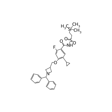 C[Si](C)(C)CCS(=O)(=O)NC(=O)c1cc(C2CC2)c(OCC2CN(C(c3ccccc3)c3ccccc3)C2)cc1F